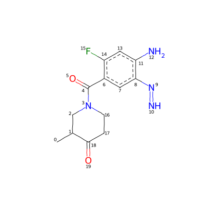 CC1CN(C(=O)c2cc(N=N)c(N)cc2F)CCC1=O